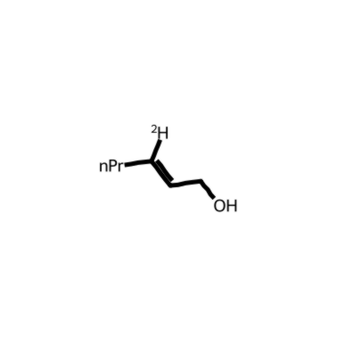 [2H]C(=CCO)CCC